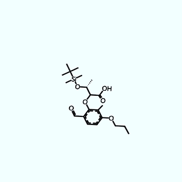 CCCOc1ccc(C=O)c(OC(C(=O)O)[C@@H](C)O[Si](C)(C)C(C)(C)C)c1C